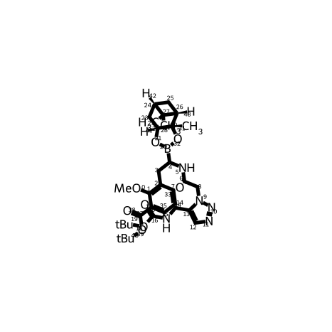 COc1c(CC(NC(=O)Cn2nncc2CNC(=O)OC(C)(C)C)B2O[C@@H]3C[C@@H]4C[C@@H](C4(C)C)[C@]3(C)O2)cccc1C(=O)OC(C)(C)C